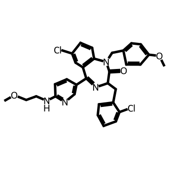 COCCNc1ccc(C2=NC(Cc3ccccc3Cl)C(=O)N(Cc3ccc(OC)cc3)c3ccc(Cl)cc32)cn1